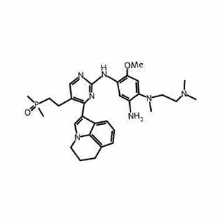 COc1cc(N(C)CCN(C)C)c(N)cc1Nc1ncc(CCP(C)(C)=O)c(-c2cn3c4c(cccc24)CCC3)n1